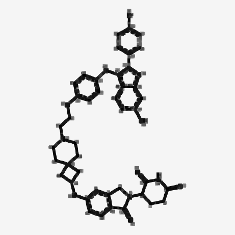 O=C1CCC(N2Cc3cc(OC4CC5(CCN(CCOc6ccc(Oc7c(-c8ccc(Br)cc8)sc8cc(O)ccc78)cc6)CC5)C4)ccc3C2=O)C(=O)N1